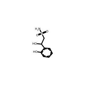 NS(=O)(=O)CC(O)c1ccccc1O